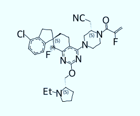 C=C(F)C(=O)N1CCN(c2nc(OC[C@@H]3CCCN3CC)nc3c2CC[C@@]2(CCc4c(Cl)cccc42)[C@H]3F)C[C@@H]1CC#N